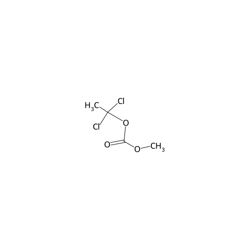 COC(=O)OC(C)(Cl)Cl